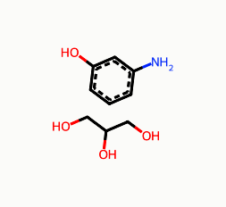 Nc1cccc(O)c1.OCC(O)CO